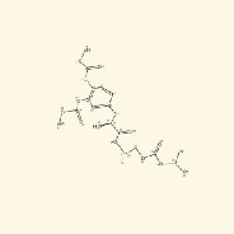 CCCOC(=O)Oc1ccc(C[C@H](N)C(=O)O[C@@H](C)COC(=O)OC(C)C(C)C)cc1OC(=O)OCCC